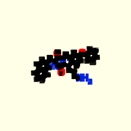 NCCCC[C@H]1C(=O)N[C@@H](Cc2ccc3ccccc3c2)C(=O)N1Cc1cccc(Oc2ccccc2)c1